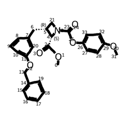 COC(=O)[C@@H]1[C@H](Cc2cccc(OCc3ccccc3)c2)CN1C(=O)Oc1ccc(OC)cc1